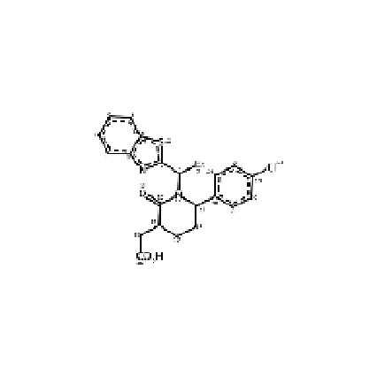 CCC(c1nc2ccccc2s1)N1C(=O)C(CC(=O)O)CCC1c1ccc(Cl)cc1